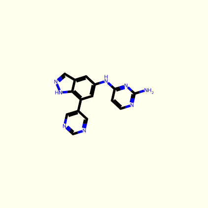 Nc1nccc(Nc2cc(-c3cncnc3)c3[nH]ncc3c2)n1